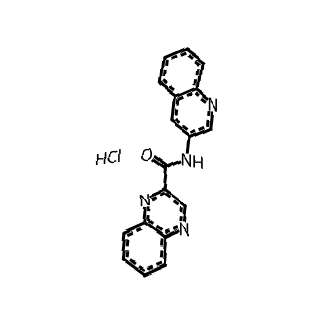 Cl.O=C(Nc1cnc2ccccc2c1)c1cnc2ccccc2n1